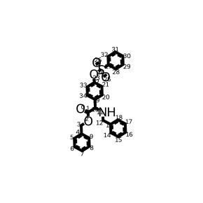 O=C(OCc1ccccc1)C(NCc1ccccc1)c1ccc(OS(=O)(=O)c2ccccc2)cc1